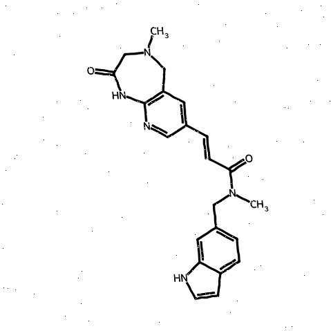 CN1CC(=O)Nc2ncc(C=CC(=O)N(C)Cc3ccc4cc[nH]c4c3)cc2C1